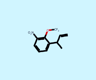 C=C[C](C)c1cccc([N+](=O)[O-])c1OC(F)(F)F